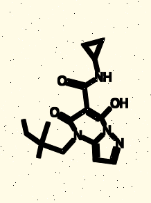 CCC(C)(C)Cn1c(=O)c(C(=O)NC2CC2)c(O)n2nccc12